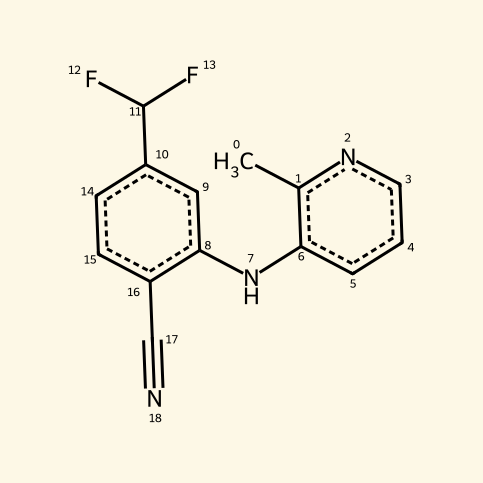 Cc1ncccc1Nc1cc(C(F)F)ccc1C#N